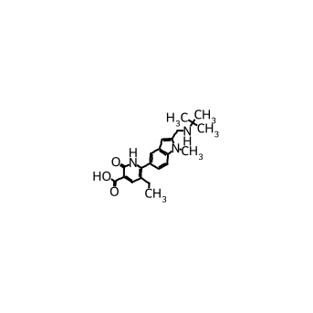 CCc1cc(C(=O)O)c(=O)[nH]c1-c1ccc2c(c1)cc(CNC(C)(C)C)n2C